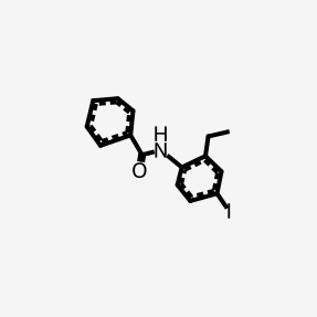 CCc1cc(I)ccc1NC(=O)c1ccccc1